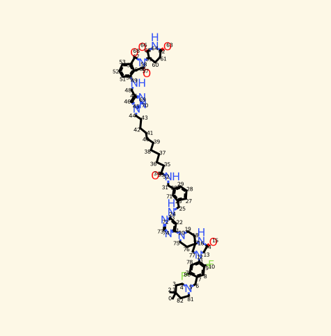 CC1(C)CCN(Cc2cc(F)c(N3CC(=O)NC4(CCN(c5cc(NCc6cccc(CNC(=O)CCCCCCCCCCn7cc(CNc8cccc9c8C(=O)N(C8CCC(=O)NC8=O)C9=O)nn7)c6)ncn5)CC4)C3)cc2F)CC1